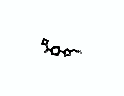 NCC1CC(c2ccc(C(=O)N3CCC3)cc2)=NO1